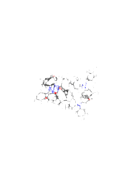 Cc1cc(N(c2ccccc2)c2ccccc2)ccc1-c1ccc(N(c2ccccc2)c2ccccc2)cc1C1c2cc(N(c3ccccc3)c3ccccc3)ccc2-c2ccc(N(c3ccccc3)c3ccccc3)cc21